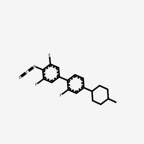 CC1CCC(c2ccc(-c3cc(F)c(N=C=S)c(F)c3)c(F)c2)CC1